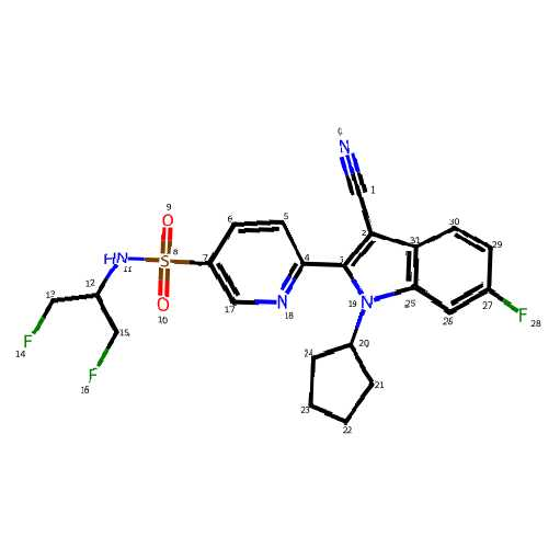 N#Cc1c(-c2ccc(S(=O)(=O)NC(CF)CF)cn2)n(C2CCCC2)c2cc(F)ccc12